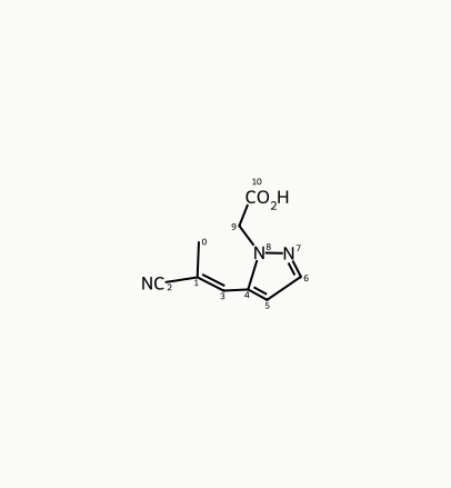 CC(C#N)=Cc1ccnn1CC(=O)O